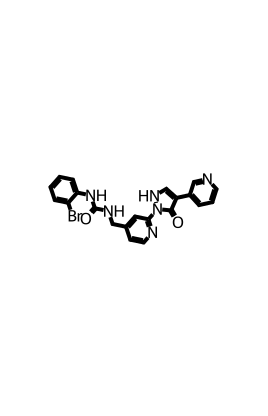 O=C(NCc1ccnc(-n2[nH]cc(-c3cccnc3)c2=O)c1)Nc1ccccc1Br